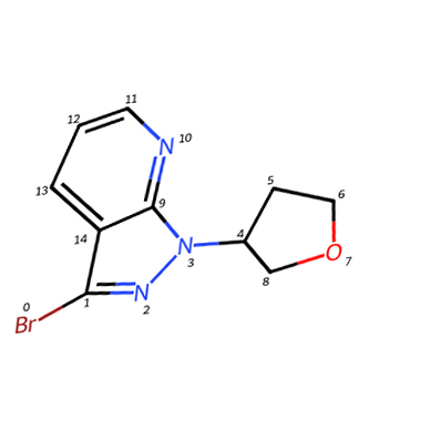 Brc1nn(C2CCOC2)c2ncccc12